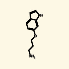 NCCCOc1ccc2cc[nH]c2c1